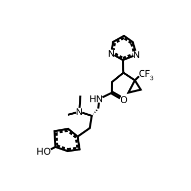 CN(C)[C@H](CNC(=O)CC(c1ncccn1)C1(C(F)(F)F)CC1)Cc1ccc(O)cc1